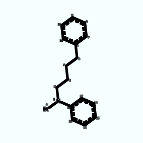 CCN(CCCCc1ccccc1)c1ccccc1